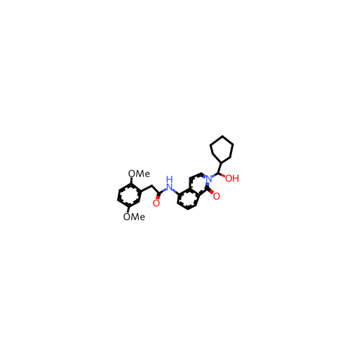 COc1ccc(OC)c(CC(=O)Nc2cccc3c(=O)n(C(O)C4CCCCC4)ccc23)c1